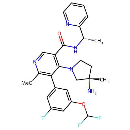 COc1ncc(C(=O)N[C@@H](C)c2ccccn2)c(N2CC[C@](C)(N)C2)c1-c1cc(F)cc(OC(F)F)c1